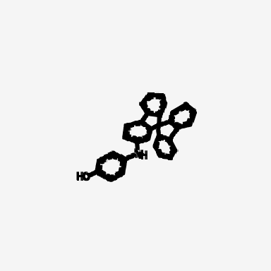 Oc1ccc(Nc2ccc3c(c2)C2(c4ccccc4-c4ccccc42)c2ccccc2-3)cc1